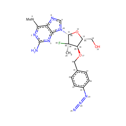 CNc1nc(N)nc2c1ncn2[C@@H]1O[C@H](CO)[C@@H](OCc2ccc(N=[N+]=[N-])cc2)[C@@]1(C)F